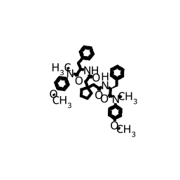 COc1ccc(N(C)C(=O)C(Cc2ccccc2)NC(=O)CC2(CC(=O)N[C@@H](Cc3ccccc3)C(=O)N(C)c3ccc(OC)cc3)CCCC2)cc1